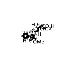 COCc1c(NC(=O)CCC(C)(C)CC(=O)O)c(=O)n(-c2ccccc2)n1C